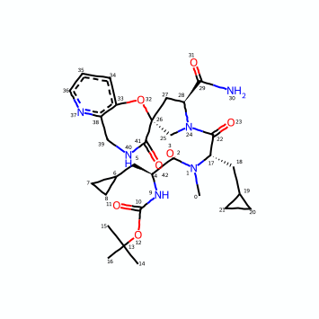 CN(C(=O)[C@H](CC1CC1)NC(=O)OC(C)(C)C)[C@@H](CC1CC1)C(=O)N1C[C@@]2(C[C@H]1C(N)=O)Oc1cccnc1CNC2=O